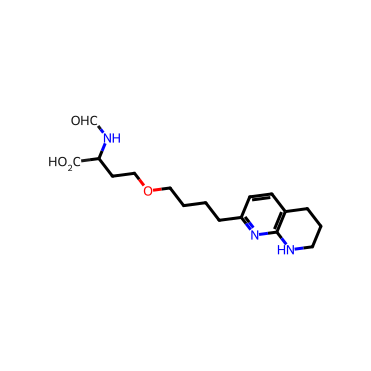 O=CNC(CCOCCCCc1ccc2c(n1)NCCC2)C(=O)O